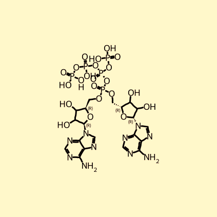 Nc1ncnc2c1ncn2[C@@H]1O[C@H](COP(=O)(OC[C@H]2O[C@@H](n3cnc4c(N)ncnc43)C(O)C2O)OP(=O)(OP(=O)(O)O)OP(=O)(O)OP(=O)(O)O)C(O)C1O